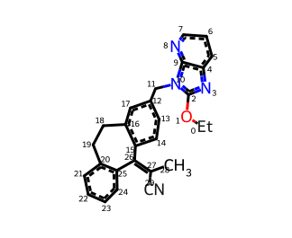 CCOc1nc2cccnc2n1Cc1ccc2c(c1)CCc1ccccc1C2=C(C)C#N